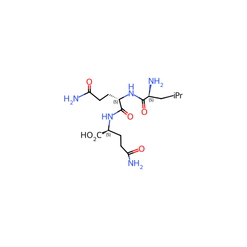 CC(C)C[C@H](N)C(=O)N[C@@H](CCC(N)=O)C(=O)N[C@@H](CCC(N)=O)C(=O)O